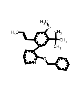 CC=Cc1cc(OC)c(C(C)(C)C)cc1-c1cccnc1OCc1ccccc1